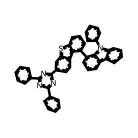 c1ccc(-c2nc(-c3ccccc3)nc(-c3ccc4c(c3)sc3cccc(-c5cccc6c7ccccc7n(-c7ccccc7)c56)c34)n2)cc1